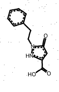 O=C(O)c1cc(=O)n(CCc2ccccc2)[nH]1